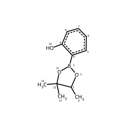 CC1OB(c2ccccc2O)OC1(C)C